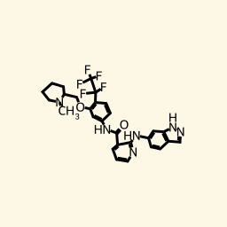 CN1CCCCC1COc1cc(NC(=O)c2cccnc2Nc2ccc3cn[nH]c3c2)ccc1C(F)(F)C(F)(F)F